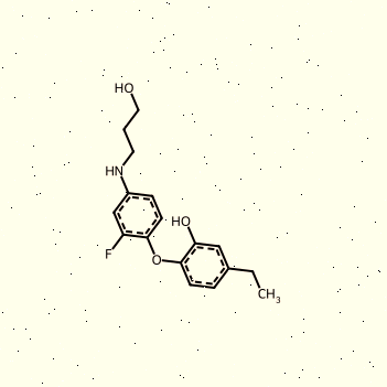 CCc1ccc(Oc2ccc(NCCCO)cc2F)c(O)c1